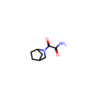 NC(=O)C(=O)N1CC2CCC1C2